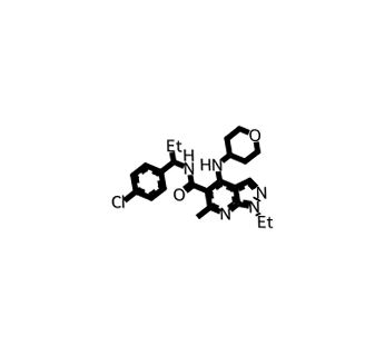 CCC(NC(=O)c1c(C)nc2c(cnn2CC)c1NC1CCOCC1)c1ccc(Cl)cc1